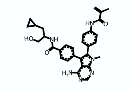 C=C(C)C(=O)Nc1ccc(-c2c(-c3ccc(C(=O)NC(CO)CC4CC4)cc3)c3c(N)ncnc3n2C)cc1